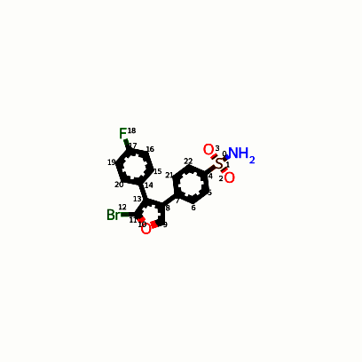 NS(=O)(=O)c1ccc(-c2coc(Br)c2-c2ccc(F)cc2)cc1